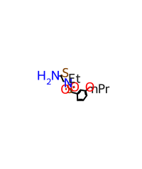 CCCOc1cccc(CS(=O)(=O)N(CC)CC(N)=S)c1